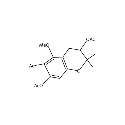 COc1c2c(cc(OC(C)=O)c1C(C)=O)OC(C)(C)C(OC(C)=O)C2